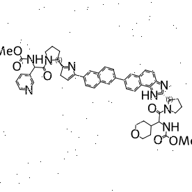 COC(=O)NC(C(=O)N1CCC[C@H]1C1=NC(c2ccc3cc(-c4ccc5c(ccc6nc([C@@H]7CCCN7C(=O)C(NC(=O)OC)C7CCOCC7)[nH]c65)c4)ccc3c2)=CC1)c1cccnc1